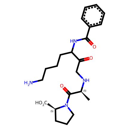 C[C@H](NCC(=O)C(CCCCN)NC(=O)c1ccccc1)C(=O)N1CCC[C@H]1C(=O)O